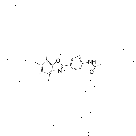 CC(=O)Nc1ccc(-c2nc3c(C)c(C)c(C)c(C)c3o2)cc1